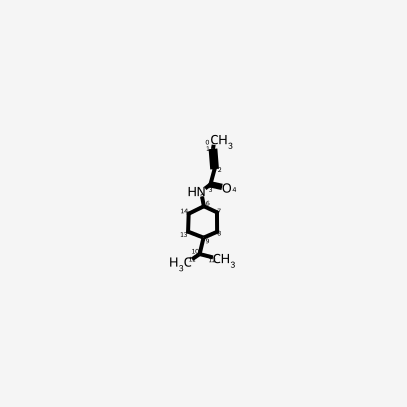 CC#CC(=O)NC1CCC(C(C)C)CC1